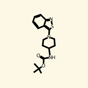 CC(C)(C)OC(=O)NC1CCN(c2snc3ccccc23)CC1